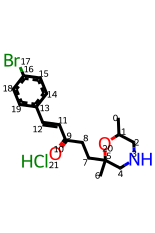 CC1CNCC(C)(CCC(=O)/C=C/c2ccc(Br)cc2)O1.Cl